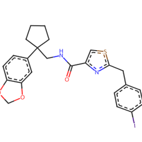 O=C(NCC1(c2ccc3c(c2)OCO3)CCCC1)c1csc(Cc2ccc(I)cc2)n1